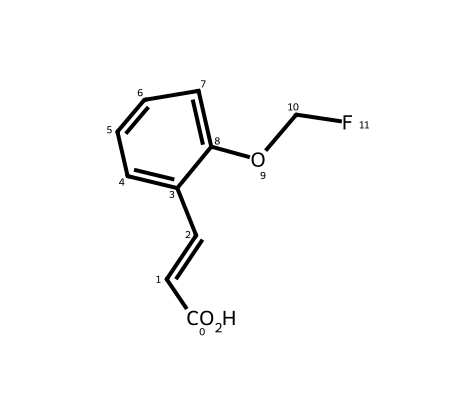 O=C(O)/C=C/c1ccccc1OCF